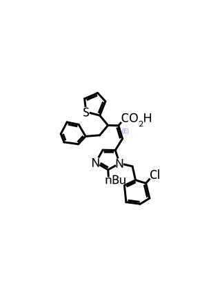 CCCCc1ncc(/C=C(/C(=O)O)C(Cc2ccccc2)c2cccs2)n1Cc1ccccc1Cl